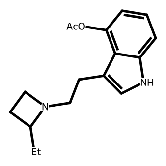 CCC1CCN1CCc1c[nH]c2cccc(OC(C)=O)c12